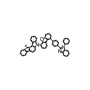 c1ccc(-n2c(-c3ccc(-c4cccc5oc6c(-n7c8ccccc8c8c9sc%10ccccc%10c9ccc87)cccc6c45)cc3)nc3ccccc32)cc1